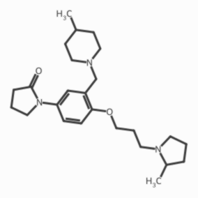 CC1CCN(Cc2cc(N3CCCC3=O)ccc2OCCCN2CCCC2C)CC1